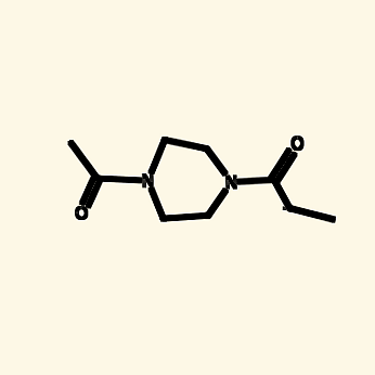 C[CH]C(=O)N1CCN(C(C)=O)CC1